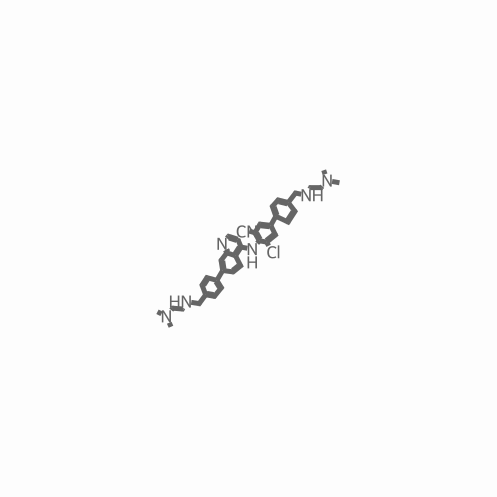 Cc1cc(-c2ccc(CNCCN(C)C)cc2)cc(Cl)c1Nc1c(C#N)cnc2cc(-c3ccc(CNCCN(C)C)cc3)ccc12